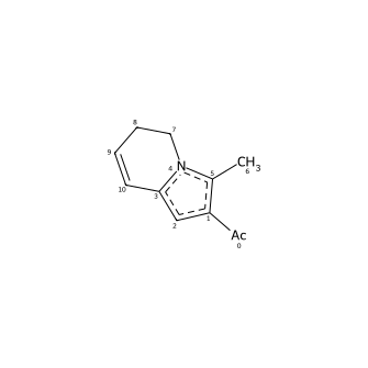 CC(=O)c1cc2n(c1C)CCC=C2